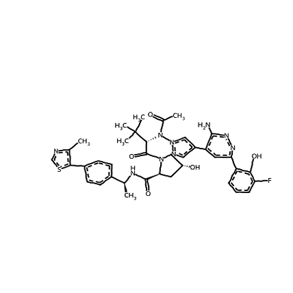 CC(=O)N([C@H](C(=O)N1C[C@H](O)C[C@H]1C(=O)N[C@@H](C)c1ccc(-c2scnc2C)cc1)C(C)(C)C)n1cc(-c2cc(-c3cccc(F)c3O)nnc2N)cn1